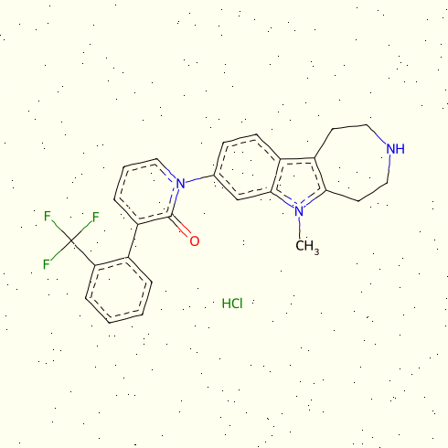 Cl.Cn1c2c(c3ccc(-n4cccc(-c5ccccc5C(F)(F)F)c4=O)cc31)CCNCC2